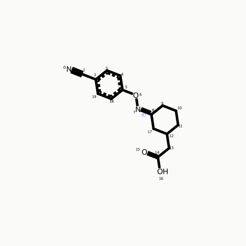 N#Cc1ccc(O/N=C2\CCCC(CC(=O)O)C2)cc1